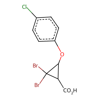 O=C(O)C1C(Oc2ccc(Cl)cc2)C1(Br)Br